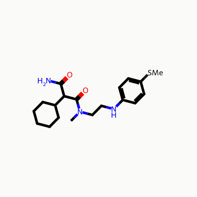 CSc1ccc(NCCN(C)C(=O)C(C(N)=O)C2CCCCC2)cc1